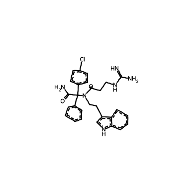 N=C(N)NCCC(=O)N(CCc1c[nH]c2ccccc12)C(C(N)=O)(c1ccccc1)c1ccc(Cl)cc1